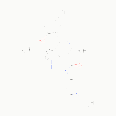 CC1=C(C(=O)NC2CCN(C(=O)O)CC2)c2[nH]ccc2C(c2cc(C)c(F)cc2OCC2CC2)N1